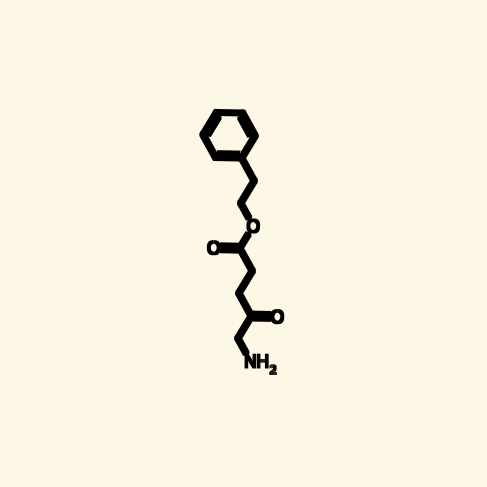 NCC(=O)CCC(=O)OCCc1ccccc1